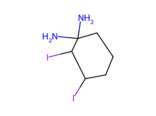 NC1(N)CCCC(I)C1I